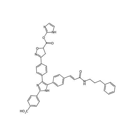 O=C(C=Cc1ccc(-c2[nH]c(-c3ccc(C(=O)O)cc3)nc2-c2ccc(C3=NOC(C(=O)Oc4ncc[nH]4)C3)cc2)cc1)NCCCc1ccccc1